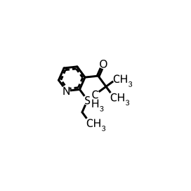 CCSc1ncccc1C(=O)C(C)(C)C